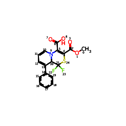 COC(=O)C1=C(C(=O)O)N2C=CC=C(c3ccccc3)C2C(F)(F)S1